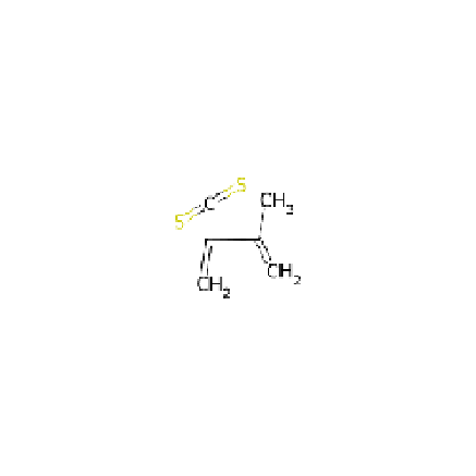 C=CC(=C)C.S=C=S